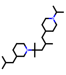 CC(C)CC1CCCN(C(C)(C)CC(C)CC2CCN(C(C)C)CC2)C1